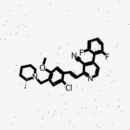 COc1cc(/C=C/c2nccc(-c3c(F)cccc3F)c2C#N)c(Cl)cc1CN1CCCC[C@H]1C